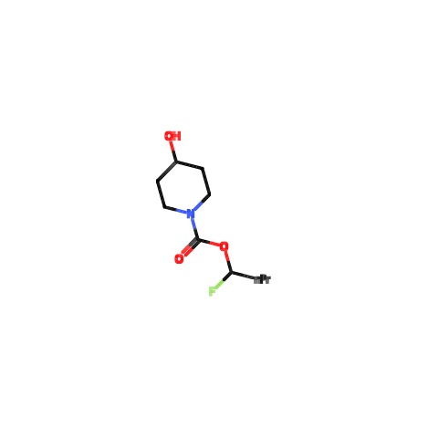 CCCC(F)OC(=O)N1CCC(O)CC1